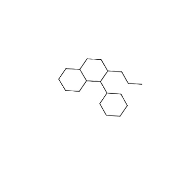 CCCC1CCC2CCCCC2C1C1CCCCC1